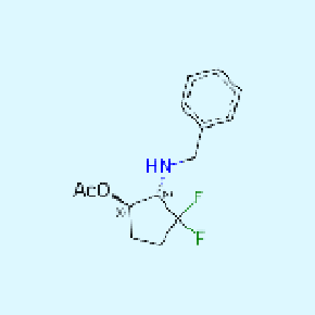 CC(=O)O[C@@H]1CCC(F)(F)[C@H]1NCc1ccccc1